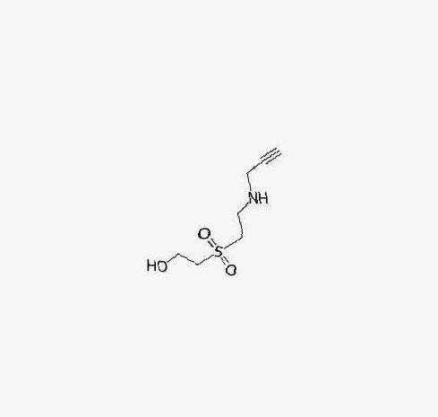 C#CCNCCS(=O)(=O)CCO